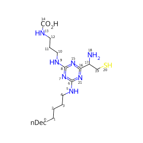 CCCCCCCCCCCCCCNc1nc(NCCCNC(=O)O)nc(C(N)CS)n1